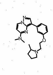 CC1CCCN1CCOc1cccc(-c2cnn3ccc(N(C)C)nc23)c1